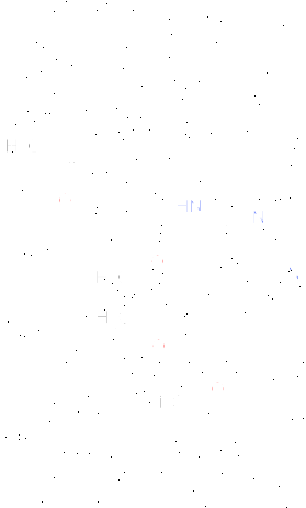 COc1cc2ncnc(Nc3ccccc3C=CC(C)=O)c2c(OC)c1OC